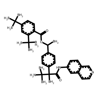 BC(OC(=O)c1ccc(C(B)(B)B)cc1C(B)(B)B)c1ccc(C(B)(C(=O)Nc2ccc3cnccc3c2)C(B)(B)N)cc1